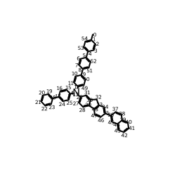 Cc1ccc(-c2ccc(-c3ccc(N(c4ccc(-c5ccccc5)cc4)c4ccc5c(c4)Cc4cc(-c6ccc7ccccc7c6)ccc4-5)cc3)cc2)cc1